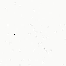 Cl[Si](Cl)(Cl)OC(c1ccccc1)(c1ccccc1)c1ccccc1